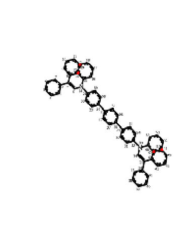 C(=C(c1ccccc1)c1ccccc1)N(c1ccccc1)c1ccc(-c2ccc(-c3ccc(N(C=C(c4ccccc4)c4ccccc4)c4ccccc4)cc3)cc2)cc1